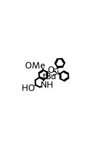 COc1cc2c(cc1O[Si](c1ccccc1)(c1ccccc1)C(C)(C)C)NCC(O)C2